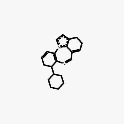 C1=CC2=C(N=CC3=CCCc4ccn2c43)C(C2CCCCC2)C1